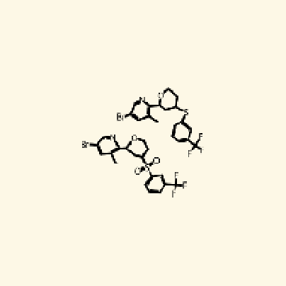 Cc1cc(Br)cnc1C1CC(S(=O)(=O)c2cccc(C(F)(F)F)c2)CCO1.Cc1cc(Br)cnc1C1CC(Sc2cccc(C(F)(F)F)c2)CCO1